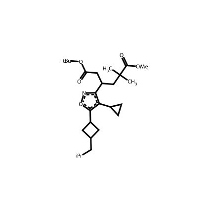 COC(=O)C(C)(C)CC(CC(=O)OC(C)(C)C)c1noc(C2CC(CC(C)C)C2)c1C1CC1